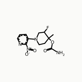 CC1(OC(N)=O)CCN(c2cccnc2[N+](=O)[O-])CC1F